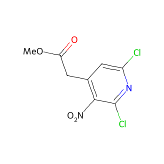 COC(=O)Cc1cc(Cl)nc(Cl)c1[N+](=O)[O-]